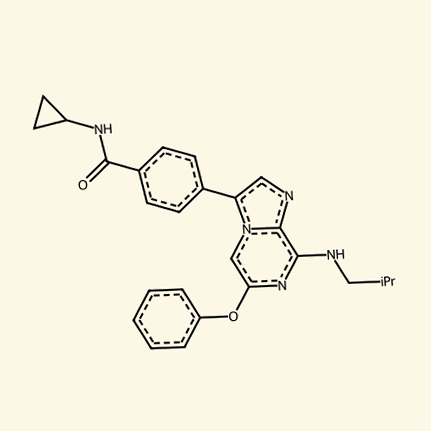 CC(C)CNc1nc(Oc2ccccc2)cn2c(-c3ccc(C(=O)NC4CC4)cc3)cnc12